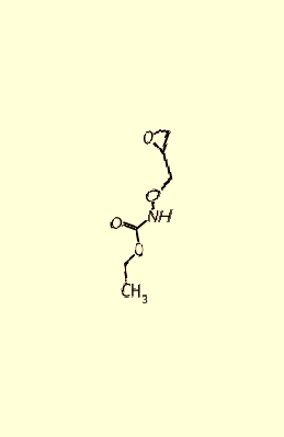 CCOC(=O)NOCC1CO1